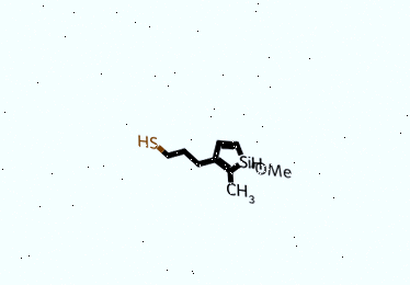 CO[SiH]1C=CC(CCCS)=C1C